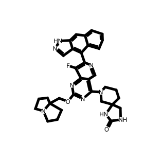 O=C1NCC2(CCCN(c3nc(OCC45CCCN4CCC5)nc4c(F)c(-c5c6ccccc6cc6[nH]ncc56)ncc34)C2)N1